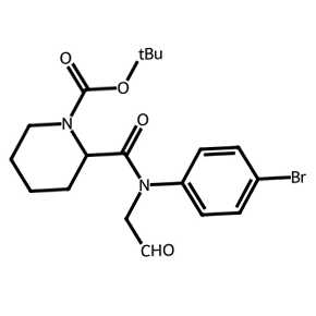 CC(C)(C)OC(=O)N1CCCCC1C(=O)N(CC=O)c1ccc(Br)cc1